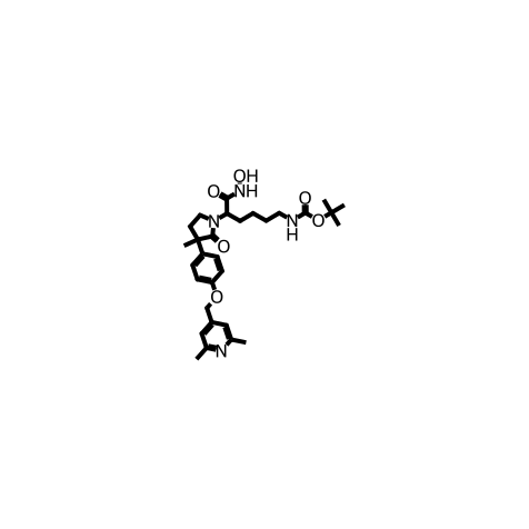 Cc1cc(COc2ccc(C3(C)CCN(C(CCCCNC(=O)OC(C)(C)C)C(=O)NO)C3=O)cc2)cc(C)n1